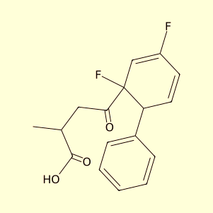 CC(CC(=O)C1(F)C=C(F)C=CC1c1ccccc1)C(=O)O